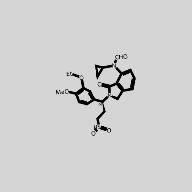 CCOc1cc([C@H](CC[SH](=O)=O)N2Cc3cccc(N(C=O)C4CC4)c3C2=O)ccc1OC